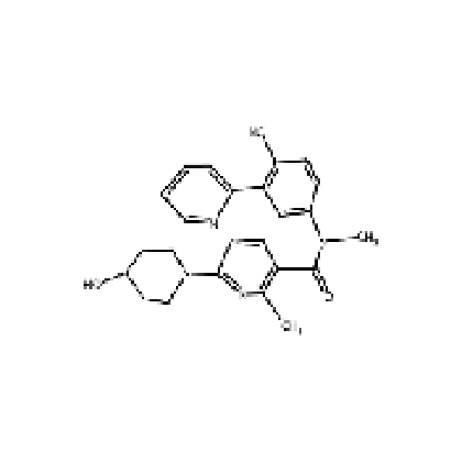 Cc1nc(N2CCC(O)CC2)ccc1C(=O)N(C)c1ccc(C#N)c(-c2ccccn2)c1